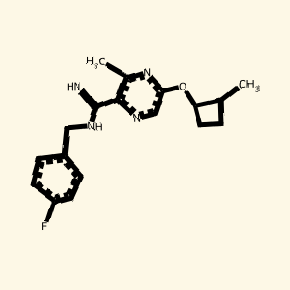 Cc1nc(OC2CCC2C)cnc1C(=N)NCc1ccc(F)cc1